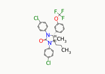 CCC[C@]1(C)[C@@H](c2cccc(OC(F)(F)F)c2)N(c2ccc(Cl)cc2)C(=O)N1c1ccc(Cl)cc1